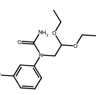 CCOC(CN(C(N)=O)c1cccc(F)c1)OCC